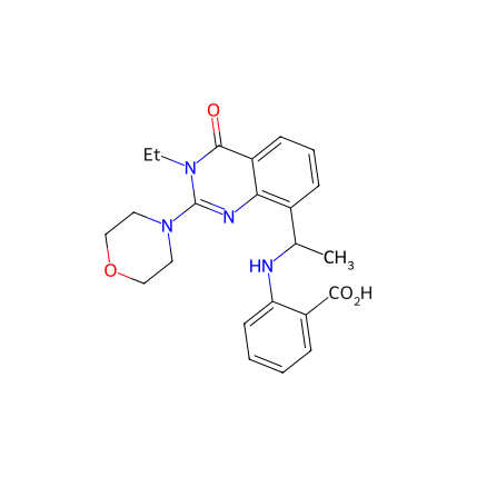 CCn1c(N2CCOCC2)nc2c(C(C)Nc3ccccc3C(=O)O)cccc2c1=O